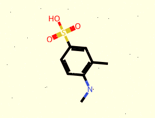 C[N]c1ccc(S(=O)(=O)O)cc1C